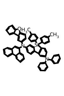 Cc1ccc([Si]2(c3ccc(C)cc3)c3ccc(N(c4ccccc4)c4ccccc4)cc3-c3ccc(N(c4ccc5oc6ccccc6c5c4)c4cc5ccccc5c5ccccc45)cc32)cc1